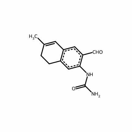 CC1=Cc2cc(C=O)c(NC(N)=O)cc2CC1